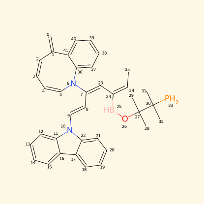 C=C1/C=C\C=CN(C(/C=C/n2c3ccccc3c3ccccc32)=C/C(BOC(C)(C)C(C)(C)P)=C\C)c2ccccc21